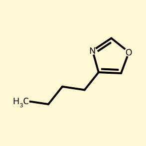 CCCCc1cocn1